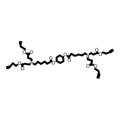 C#CCCOC(=O)CCN(CCCCCC(=O)O[C@H]1CC[C@H](OC(=O)CCCCCN(CCC(=O)OCCC#C)CCC(=O)OCCC#C)CC1)CCC(=O)OCCC#C